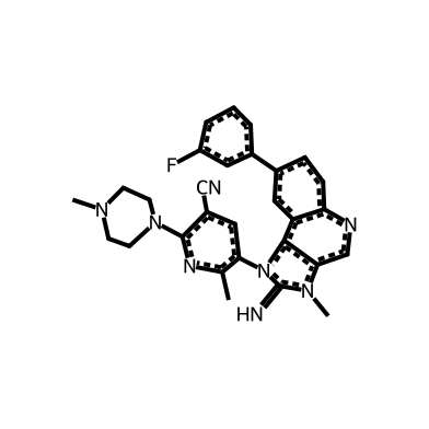 Cc1nc(N2CCN(C)CC2)c(C#N)cc1-n1c(=N)n(C)c2cnc3ccc(-c4cccc(F)c4)cc3c21